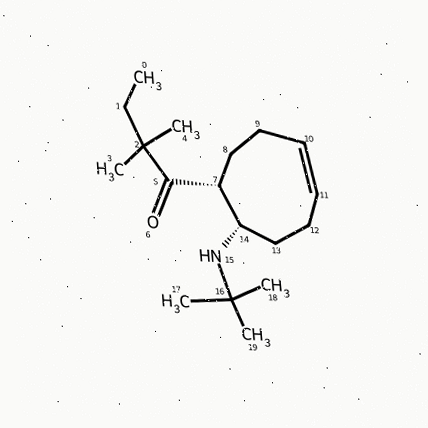 CCC(C)(C)C(=O)[C@@H]1CC/C=C\CC[C@@H]1NC(C)(C)C